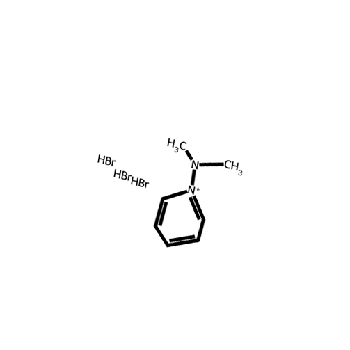 Br.Br.Br.CN(C)[n+]1ccccc1